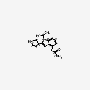 CC(C)n1c(C2CCNC2)nc2c(OC(N)=O)cccc21